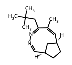 CC1=C[C@H]2CC[C@@H](C=NN=C1CC(C)(C)C)C2